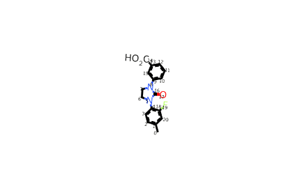 Cc1ccc(N2CCN(c3cccc(C(=O)O)c3)C2=O)c(F)c1